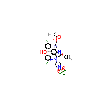 COc1cc(NC2CCN(S(=O)(=O)C(F)(F)F)CC2)c2cc(C(O)(c3ccc(Cl)cc3)c3ccc(Cl)cc3)cc(/C=C/COC(C)=O)c2n1